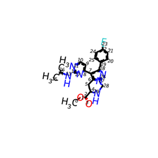 COC(=O)C1Cc2c(-c3ccnc(NC(C)C)n3)c(-c3ccc(F)cc3)nn2CN1